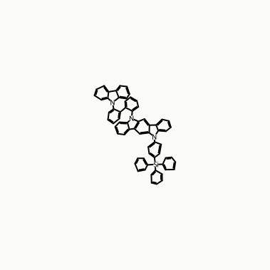 c1ccc([Si](c2ccccc2)(c2ccccc2)c2ccc(-n3c4ccccc4c4cc5c(cc43)c3ccccc3n5-c3ccccc3-c3ccccc3-n3c4ccccc4c4ccccc43)cc2)cc1